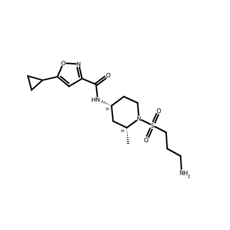 C[C@@H]1C[C@H](NC(=O)c2cc(C3CC3)on2)CCN1S(=O)(=O)CCCN